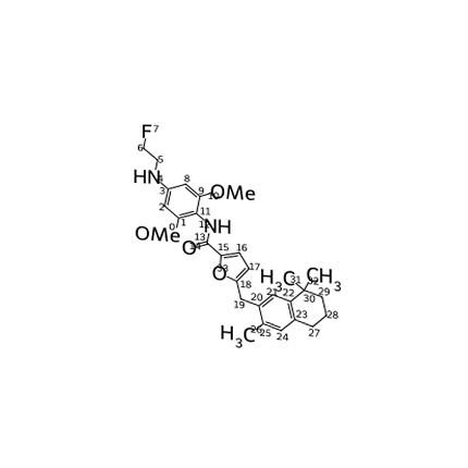 COc1cc(NCCF)cc(OC)c1NC(=O)c1ccc(Cc2cc3c(cc2C)CCCC3(C)C)o1